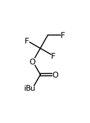 CCC(C)C(=O)OC(F)(F)CF